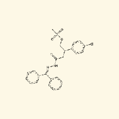 CS(=O)(=O)OCC(CC(=O)NN=C(c1ccccc1)c1ccccc1)c1ccc(Cl)cc1